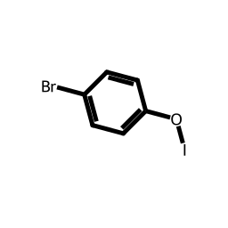 Brc1ccc(OI)cc1